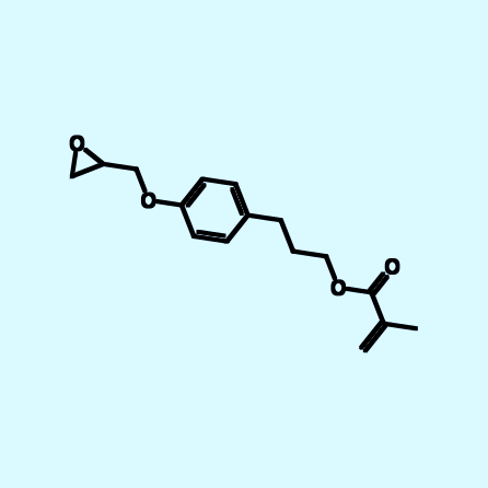 C=C(C)C(=O)OCCCc1ccc(OCC2CO2)cc1